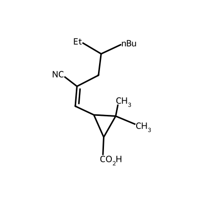 CCCCC(CC)CC(C#N)=CC1C(C(=O)O)C1(C)C